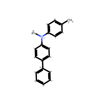 Cc1ccc(N(c2ccc(-c3ccccc3)cc2)C(C)C)cc1